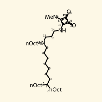 CCCCCCCCC(CCCCCCCC)CCCCCCCN(CCCCCCCC)CCCNc1c(NC)c(=O)c1=O